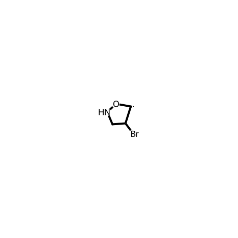 BrC1[CH]ONC1